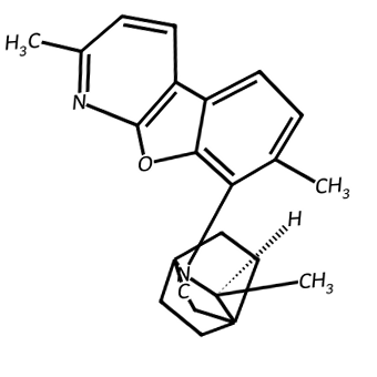 Cc1ccc2c(n1)oc1c(N3[C@@H](C)C45CCC3(CC4)CC5)c(C)ccc12